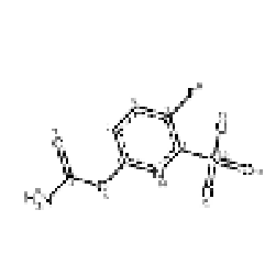 NC(=O)Oc1ccc(F)c(S(=O)(=O)Cl)n1